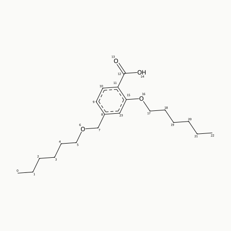 CCCCCCOCc1ccc(C(=O)O)c(OCCCCCC)c1